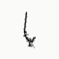 CCCOCCOCCOCCOCCOCCOCCOCCn1cc(CNC(=O)OCc2ccc(NC(=O)[C@H](CCCNC(N)=O)NC(=O)[C@@H](NC(=O)CON=C(C)C)C(C)C)cc2)nn1